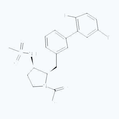 CC(C)C(=O)N1CC[C@@H](NS(C)(=O)=O)[C@H]1Cc1cccc(-c2cc(F)ccc2F)c1